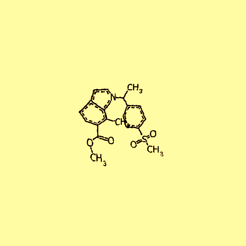 COC(=O)c1ccc2ccn(C(C)c3ccc(S(C)(=O)=O)cc3)c2c1C